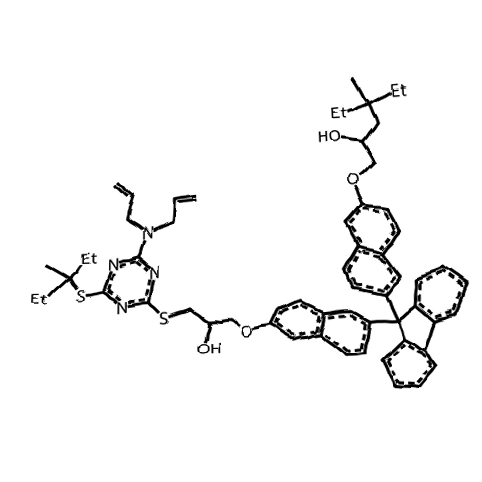 C=CCN(CC=C)c1nc(SCC(O)COc2ccc3cc(C4(c5ccc6cc(OCC(O)CC(C)(CC)CC)ccc6c5)c5ccccc5-c5ccccc54)ccc3c2)nc(SC(C)(CC)CC)n1